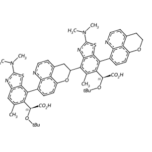 Cc1cc2nc(N(C)C)sc2c(-c2ccc3c4c(ccnc24)CC(c2c(C)c([C@H](OC(C)(C)C)C(=O)O)c(-c4ccc5c6c(ccnc46)CCO5)c4sc(N(C)C)nc24)O3)c1[C@H](OC(C)(C)C)C(=O)O